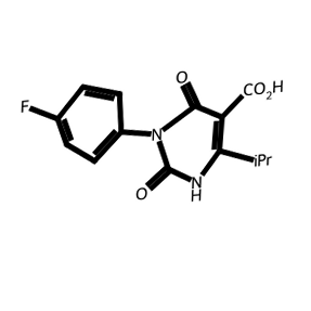 CC(C)c1[nH]c(=O)n(-c2ccc(F)cc2)c(=O)c1C(=O)O